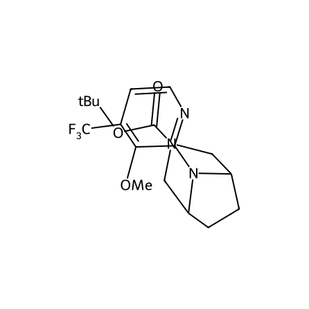 COc1c(C(F)(F)F)ccnc1N1C2CCC1CN(C(=O)OC(C)(C)C)C2